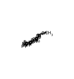 CCCOCCC1COC(c2ccc(OC(C)(F)Oc3ccc(-c4cc(F)c(/C(F)=C/F)c(F)c4)c(F)c3)c(F)c2)OC1